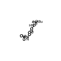 CC(C)(C)OC(=O)N1CCC[C@H]1c1ncc(-c2ccc3c(c2)COc2c-3ccc3cc(-c4cnc([C@@H]5CCCN5C(=O)c5ccccc5)[nH]4)ccc23)[nH]1